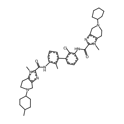 Cc1c(NC(=O)c2nc3c(n2C)CCN(C2CCC(C)CC2)C3)cccc1-c1cccc(NC(=O)c2nc3c(n2C)CCN(C2CCCCC2)C3)c1Cl